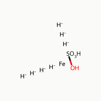 O=S(=O)(O)O.[Fe].[H-].[H-].[H-].[H-].[H-].[H-].[H-]